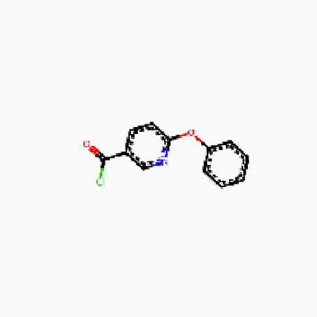 O=C(Cl)c1ccc(Oc2ccccc2)nc1